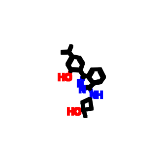 C=C(C)c1ccc(-c2nnc(NC3CC(C)(O)C3)c3ccccc23)c(O)c1